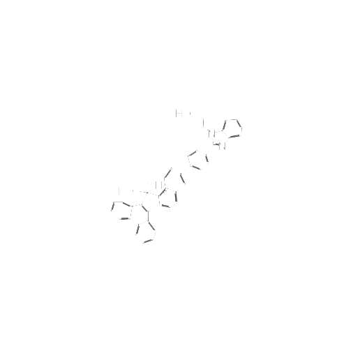 CCCn1c(-c2ccc(-c3ccc4c5c(ccc4c3)-c3c(c4ccccc4c4ccccc34)C5(C)C)cc2)nc2ccccc21